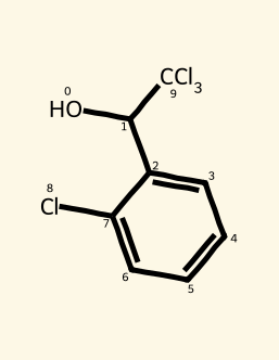 OC(c1ccccc1Cl)C(Cl)(Cl)Cl